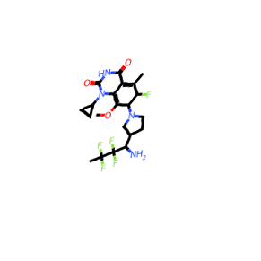 COC1=c2c(c(=O)[nH]c(=O)n2C2CC2)=C(C)C(F)C1N1CCC(C(N)C(F)(F)C(C)(F)F)C1